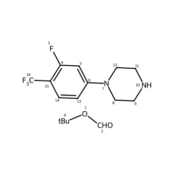 CC(C)(C)OC=O.Fc1cc(N2CCNCC2)ccc1C(F)(F)F